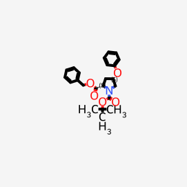 CC(C)(C)OC(=O)N1C[C@@H](Oc2ccccc2)C[C@H]1C(=O)OCc1ccccc1